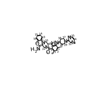 Cc1cc(C)c(C(=O)N2CCN(c3ccccc3)[C@@H](C(N)=O)C2)c(C)c1NC1CCN(c2cnccn2)CC1